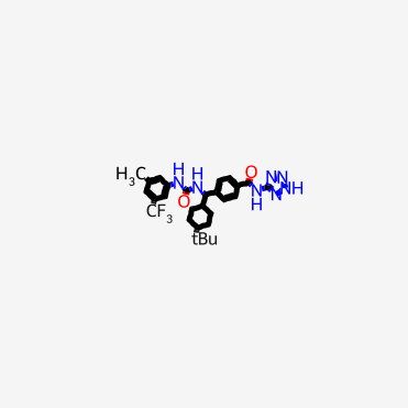 Cc1cc(NC(=O)NC(c2ccc(C(=O)Nc3nn[nH]n3)cc2)C2CCC(C(C)(C)C)CC2)cc(C(F)(F)F)c1